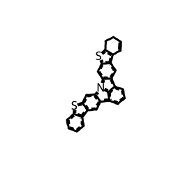 C1=Cc2c(sc3cc4c(cc23)c2cccc3c5cc6c(cc5n4c23)sc2ccccc26)CC1